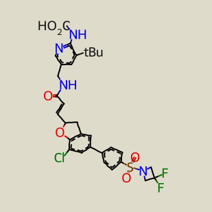 CC(C)(C)c1cc(CNC(=O)C=CC2Cc3cc(-c4ccc(S(=O)(=O)N5CC(F)(F)C5)cc4)cc(Cl)c3O2)cnc1NC(=O)O